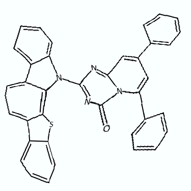 O=c1nc(-n2c3ccccc3c3ccc4c5ccccc5sc4c32)nc2cc(-c3ccccc3)cc(-c3ccccc3)n12